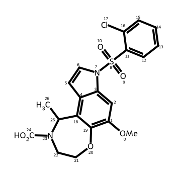 COc1cc2c(ccn2S(=O)(=O)c2ccccc2Cl)c2c1OCCN(C(=O)O)C2C